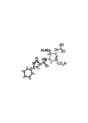 CCC(CC)O[C@@H]1C=C(C(=O)O)C[C@H](NC(=O)c2cc(-c3ccccc3)n[nH]2)[C@H]1NC(C)=O